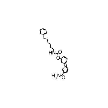 NC(=O)c1ccn(-c2cccc(OC(=O)NCCCCCCc3ccccc3)c2)c1